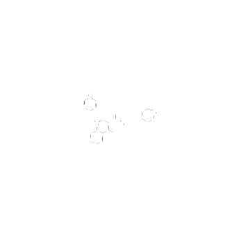 O=C(NCCc1ccncc1)c1cn(Cc2ccncc2)c2c(F)cccc2c1=O